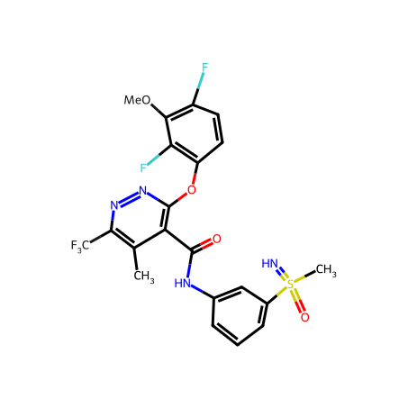 COc1c(F)ccc(Oc2nnc(C(F)(F)F)c(C)c2C(=O)Nc2cccc(S(C)(=N)=O)c2)c1F